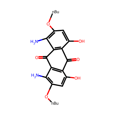 CCCCOc1cc(O)c2c(c1N)C(=O)c1c(N)c(OCCCC)cc(O)c1C2=O